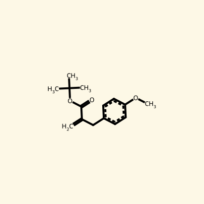 C=C(Cc1ccc(OC)cc1)C(=O)OC(C)(C)C